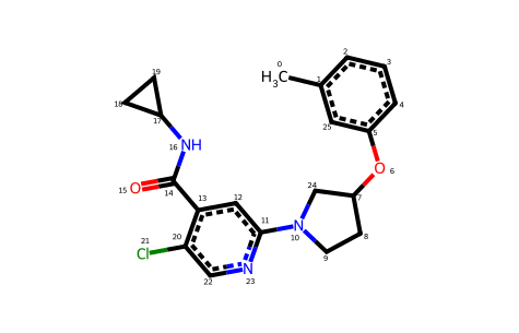 Cc1cccc(OC2CCN(c3cc(C(=O)NC4CC4)c(Cl)cn3)C2)c1